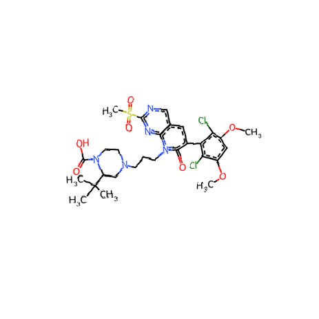 COc1cc(OC)c(Cl)c(-c2cc3cnc(S(C)(=O)=O)nc3n(CCCN3CCN(C(=O)O)C(C(C)(C)C)C3)c2=O)c1Cl